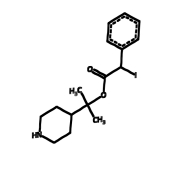 CC(C)(OC(=O)C(I)c1ccccc1)C1CCNCC1